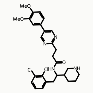 COc1ccc(-c2cnc(CCC(=O)NC(Cc3cccc(Cl)c3Cl)C3CCCNC3)nc2)cc1OC